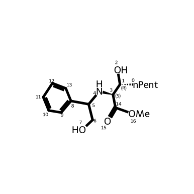 CCCCC[C@@H](O)[C@H](NC(CO)c1ccccc1)C(=O)OC